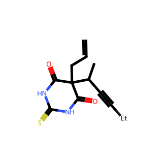 C=CCC1(C(C)C#CCC)C(=O)NC(=S)NC1=O